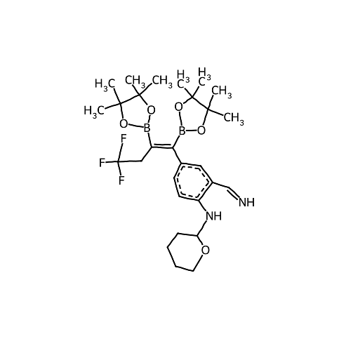 CC1(C)OB(/C(CC(F)(F)F)=C(\B2OC(C)(C)C(C)(C)O2)c2ccc(NC3CCCCO3)c(C=N)c2)OC1(C)C